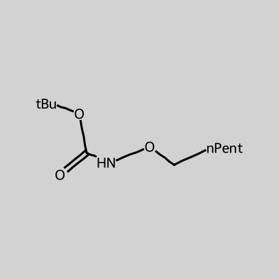 CCCCCCONC(=O)OC(C)(C)C